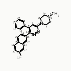 CN1CCN(c2cc(-c3ccncc3)c(-c3ccc4ccc(F)cc4c3)nn2)CC1